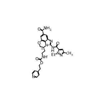 CCn1nc(C)cc1C(=O)Nc1nc2cc(C(N)=O)cc3c2n1[C@@H](CCNC(=O)OCCc1ccncc1)CO3